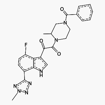 CC1CN(C(=O)c2ccccc2)CCN1C(=O)C(=O)c1c[nH]c2c(-c3nnn(C)n3)ccc(F)c12